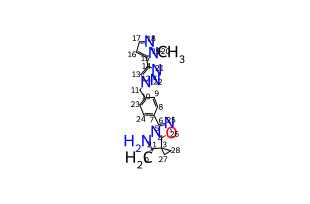 C=C(N)C1(c2nc(-c3ccc(Cn4cc(-c5ccnn5C)nn4)cc3)no2)CC1